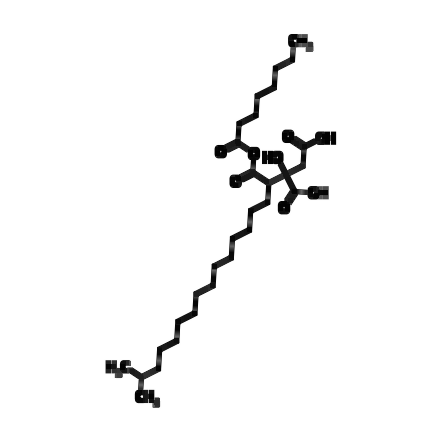 CCCCCCCC(=O)OC(=O)C(CCCCCCCCCCCCCC(C)C)C(O)(CC(=O)O)C(=O)O